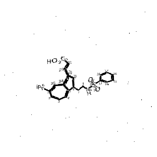 CC(C)c1cccc2c(CCNS(=O)(=O)c3ccccc3)cc(C=CC(=O)O)c-2c1